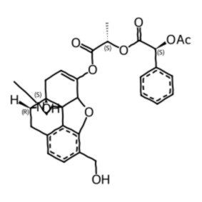 CC(=O)O[C@H](C(=O)O[C@@H](C)C(=O)OC1=CC[C@@]2(O)[C@H]3Cc4ccc(CO)c5c4C2(CCN3C)C1O5)c1ccccc1